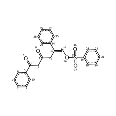 O=C(CC(=O)c1ccccc1)C/C(=N\OS(=O)(=O)c1ccccc1)c1ccccc1